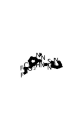 CC(F)(CF)Oc1ccc2ncnc(Nc3nc4cccnc4s3)c2c1